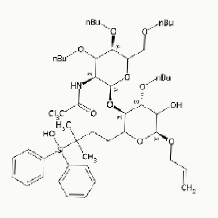 C=CCO[C@H]1OC(CCC(C)(C)[Si](O)(c2ccccc2)c2ccccc2)[C@@H](O[C@@H]2OC(COCCCC)[C@H](OCCCC)C(OCCCC)[C@@H]2NC(=O)C(Cl)(Cl)Cl)[C@H](OCCCC)C1O